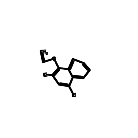 C=COc1c(Cl)cc(Cl)c2ccccc12